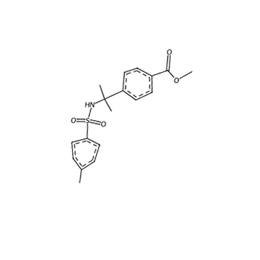 COC(=O)c1ccc(C(C)(C)NS(=O)(=O)c2ccc(C)cc2)cc1